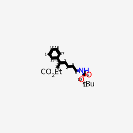 CCOC(=O)CC(=CCCCNC(=O)OC(C)(C)C)c1ccccc1